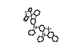 CC1(C)c2ccc(N(c3ccccc3)c3ccc4c(c3)-c3ccccc3C43c4ccccc4Sc4ccccc43)cc2N(c2ccccc2)c2cc3ccccc3cc21